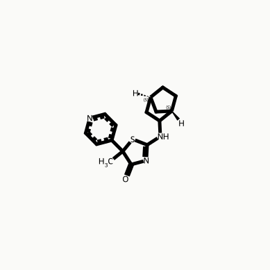 CC1(c2ccncc2)SC(NC2C[C@H]3CC[C@H]2C3)=NC1=O